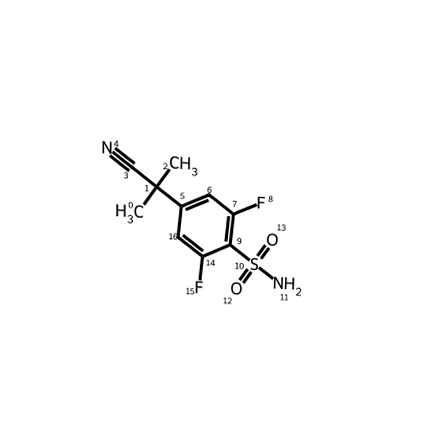 CC(C)(C#N)c1cc(F)c(S(N)(=O)=O)c(F)c1